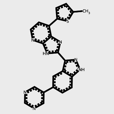 Cc1ccc(-c2ccnc3[nH]c(-c4n[nH]c5ccc(-c6cncnc6)cc45)nc23)s1